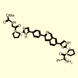 COC(=O)NCC(=O)N1CCC[C@H]1c1ncc(-c2ccc(-c3cc4ccc(-c5c[nH]c([C@@H]6CCCN6C(=O)[C@@H](N)C(C)C)n5)cc4cn3)cc2)[nH]1